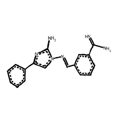 N=C(N)c1cccc(C=Nn2cc(-c3ccccc3)nc2N)c1